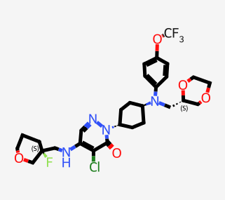 O=c1c(Cl)c(NC[C@@]2(F)CCCOC2)cnn1[C@H]1CC[C@H](N(C[C@H]2COCCO2)c2ccc(OC(F)(F)F)cc2)CC1